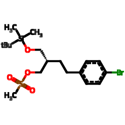 CC(C)(C)[Si](C)(C)OC[C@H](CCc1ccc(Br)cc1)COS(C)(=O)=O